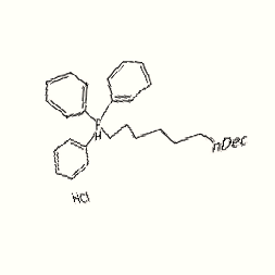 CCCCCCCCCCCCCCCC[PH](c1ccccc1)(c1ccccc1)c1ccccc1.Cl